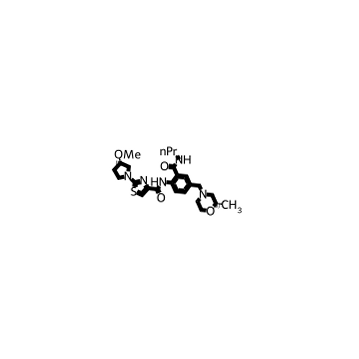 CCCNC(=O)c1cc(CN2CCO[C@@H](C)C2)ccc1NC(=O)c1csc(N2CC[C@H](OC)C2)n1